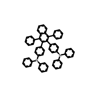 c1ccc(-c2c(-c3ccc(N(c4ccccc4)c4ccccc4)cc3)c(-c3ccc(N(c4ccccc4)c4ccccc4)cc3)c(-c3ccccc3)c3ccccc23)cc1